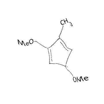 CO[C]1C=C(C)C(OC)=C1